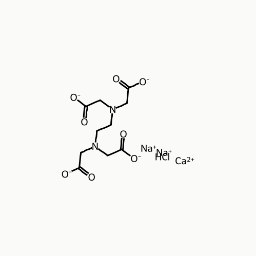 Cl.O=C([O-])CN(CCN(CC(=O)[O-])CC(=O)[O-])CC(=O)[O-].[Ca+2].[Na+].[Na+]